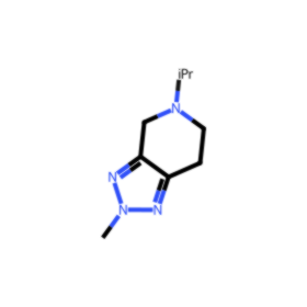 CC(C)N1CCc2nn(C)nc2C1